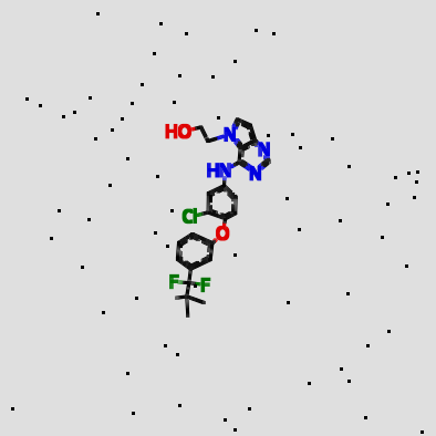 CC(C)(C)C(F)(F)c1cccc(Oc2ccc(Nc3ncnc4ccn(CCO)c34)cc2Cl)c1